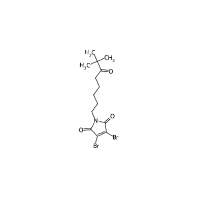 CC(C)(C)C(=O)CCCCCN1C(=O)C(Br)=C(Br)C1=O